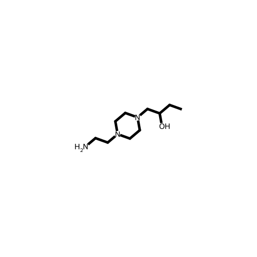 CCC(O)CN1CCN(CCN)CC1